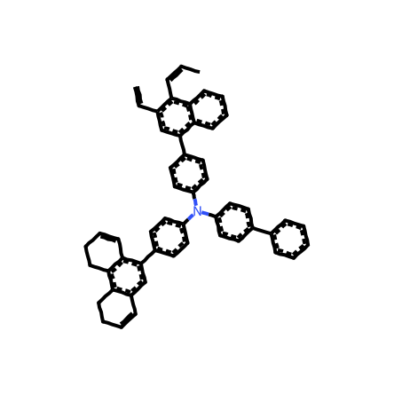 C=Cc1cc(-c2ccc(N(c3ccc(-c4ccccc4)cc3)c3ccc(-c4cc5c(c6c4C=CCC6)CCC=C5)cc3)cc2)c2ccccc2c1/C=C\C